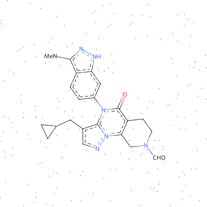 CNc1n[nH]c2cc(-n3c(=O)c4c(n5ncc(CC6CC6)c35)CN(C=O)CC4)ccc12